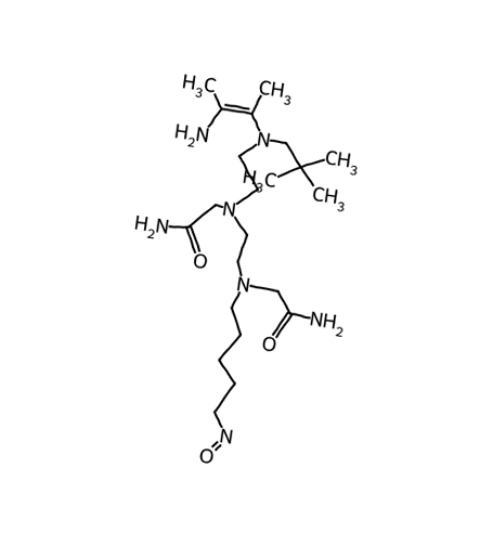 C/C(N)=C(\C)N(CCN(CCN(CCCCCN=O)CC(N)=O)CC(N)=O)CC(C)(C)C